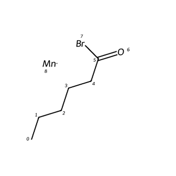 CCCCCC(=O)Br.[Mn]